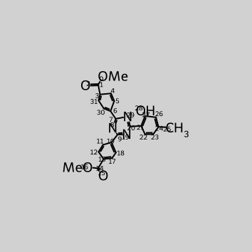 COC(=O)c1ccc(-c2nc(-c3ccc(C(=O)OC)cc3)nc(-c3ccc(C)cc3O)n2)cc1